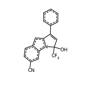 N#Cc1ccc2cc3n(c2c1)C(O)(C(F)(F)F)C=C3c1ccccc1